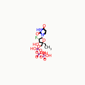 CC[C@]1(COP(=O)(O)OP(=O)(O)OP(=O)(O)O)O[C@@H](n2ccc(=O)[nH]c2=O)[C@@H](F)[C@@H]1O